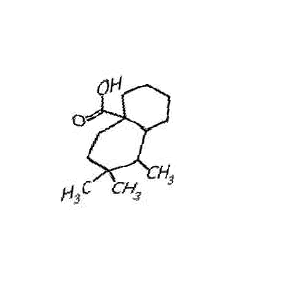 CC1C2CCCCC2(C(=O)O)CCC1(C)C